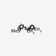 CSCC1(F)CCCC(CCC(C)C[C@]2(F)CCC[C@@H](C)C2)C1